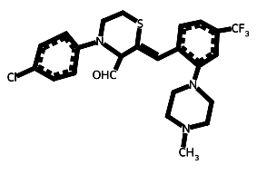 CN1CCN(c2cc(C(F)(F)F)ccc2C=C2SCCN(c3ccc(Cl)cc3)C2C=O)CC1